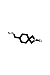 CCN1CC2(CCC(CNC)CC2)C1